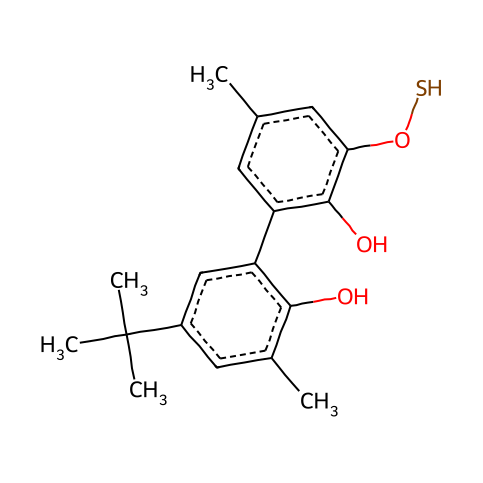 Cc1cc(OS)c(O)c(-c2cc(C(C)(C)C)cc(C)c2O)c1